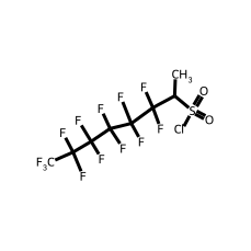 CC(C(F)(F)C(F)(F)C(F)(F)C(F)(F)C(F)(F)C(F)(F)F)S(=O)(=O)Cl